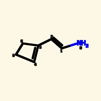 NC=CC1=CCC1